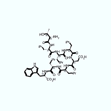 CC(C)C[C@H](NC(=O)[C@H](CC(C)C)NC(=O)[C@H](CC(=O)O)NC(=O)[C@H](CC(C)C)NC(=O)[C@H](CC(C)C)NC(=O)[C@H](CC(C)C)NC(=O)[C@@H](N)[C@@H](C)O)C(=O)N[C@@H](Cc1c[nH]c2ccccc12)C(=O)O